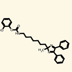 COc1ccccc1OC(=O)NCCCCCCCC1(C)N=C(c2ccccc2)C(c2ccccc2)=N1